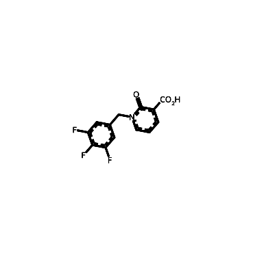 O=C(O)c1cccn(Cc2cc(F)c(F)c(F)c2)c1=O